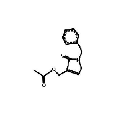 CC(=O)OCC1=CCN(Cc2ccccc2)C1=O